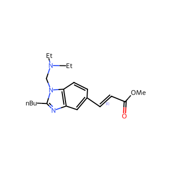 CCCCc1nc2cc(/C=C/C(=O)OC)ccc2n1CN(CC)CC